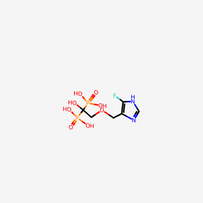 O=P(O)(O)C(O)(COCc1nc[nH]c1F)P(=O)(O)O